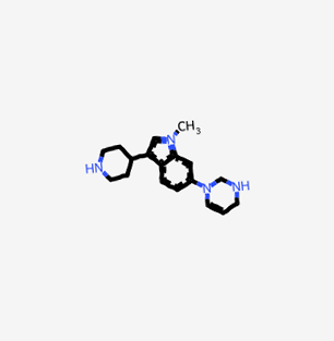 Cn1cc(C2CCNCC2)c2ccc(N3C=CCNC3)cc21